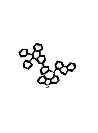 c1ccc(-c2c(-c3ccccc3)c3cc(-c4cccc(N(c5cccc6c5ccc5ccccc56)c5cccc6sc7ccccc7c56)c4)ccc3c3ccccc23)cc1